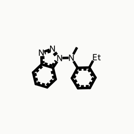 CCc1ccccc1N(C)n1nnc2ccccc21